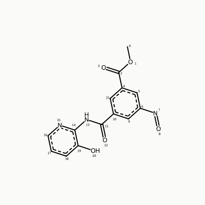 COC(=O)c1cc(N=O)cc(C(=O)Nc2ncccc2O)c1